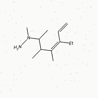 C=C/C(CC)=C(/C)C(C)C(C)N(C)N